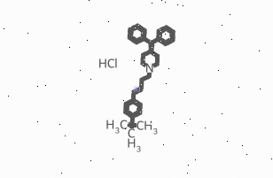 CC(C)(C)c1ccc(/C=C/CCN2CCC(=C(c3ccccc3)c3ccccc3)CC2)cc1.Cl